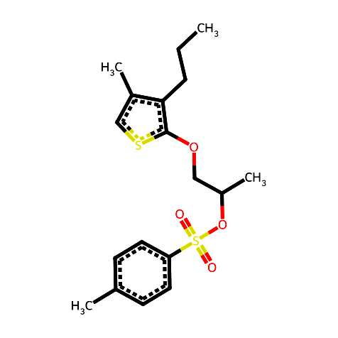 CCCc1c(C)csc1OCC(C)OS(=O)(=O)c1ccc(C)cc1